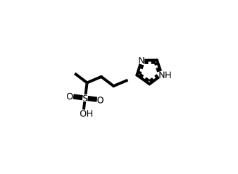 CCCC(C)S(=O)(=O)O.c1c[nH]cn1